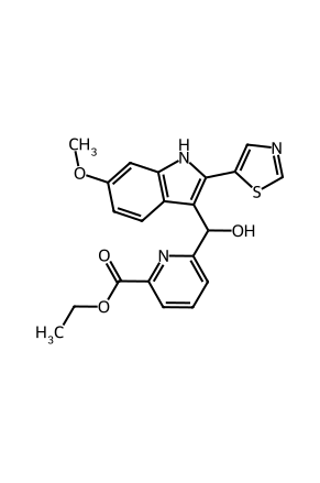 CCOC(=O)c1cccc(C(O)c2c(-c3cncs3)[nH]c3cc(OC)ccc23)n1